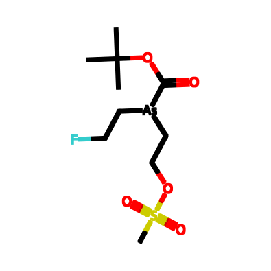 CC(C)(C)OC(=O)[As](CCF)CCOS(C)(=O)=O